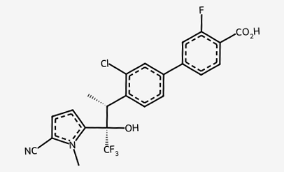 C[C@H](c1ccc(-c2ccc(C(=O)O)c(F)c2)cc1Cl)[C@@](O)(c1ccc(C#N)n1C)C(F)(F)F